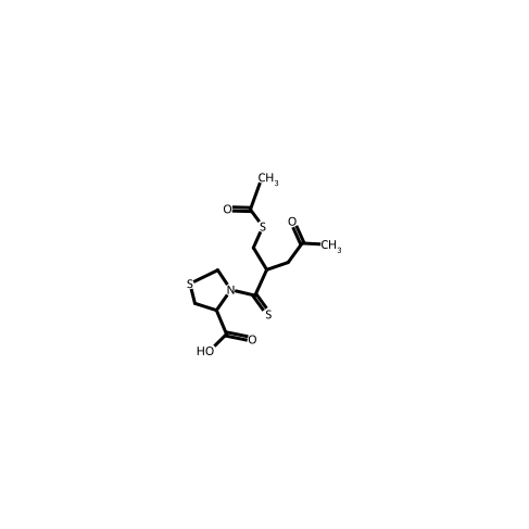 CC(=O)CC(CSC(C)=O)C(=S)N1CSCC1C(=O)O